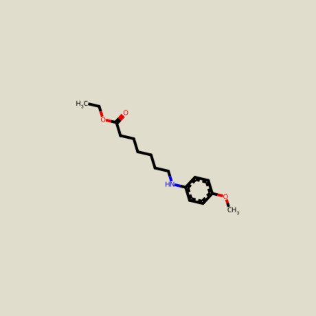 CCOC(=O)CCCCCCNc1ccc(OC)cc1